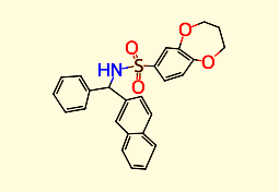 O=S(=O)(NC(c1ccccc1)c1ccc2ccccc2c1)c1ccc2c(c1)OCCCO2